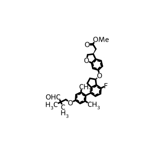 COC(=O)C[C@@H]1COc2cc(O[C@@H]3CCc4c(-c5c(C)cc(OCC(C)(C)C=O)cc5C)ccc(F)c43)ccc21